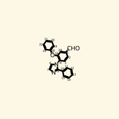 O=Cc1ccc(-n2ccnc2-c2ccccc2)c(Oc2ccccc2)c1